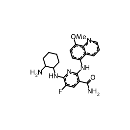 COc1ccc(Nc2nc(NC3CCCCC3N)c(F)cc2C(N)=O)c2cccnc12